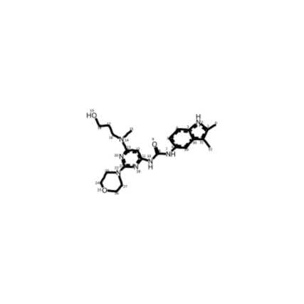 Cc1[nH]c2ccc(NC(=O)Nc3cc(N(C)CCCO)nc(N4CCOCC4)n3)cc2c1C